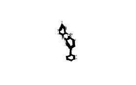 c1ccc(-c2ccc3nc4ccccc4nc3c2)cc1